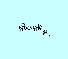 C[S+]([O-])CCc1nnc(-c2ccc(N3CCC(Oc4ccccc4C(F)(F)F)CC3)nn2)o1